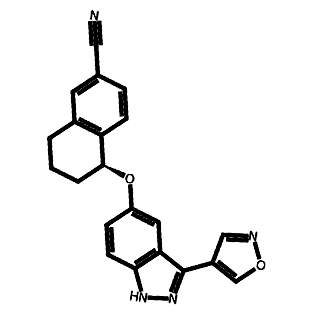 N#Cc1ccc2c(c1)CCC[C@@H]2Oc1ccc2[nH]nc(-c3cnoc3)c2c1